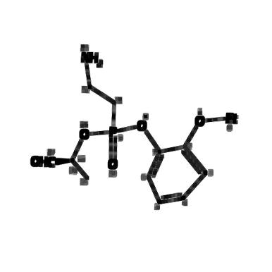 CCOc1ccccc1OP(=O)(CCN)O[C@@H](C)C=O